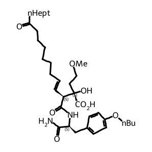 CCCCCCCC(=O)CCCCCCC=C[C@H](C(=O)N[C@@H](Cc1ccc(OCCCC)cc1)C(N)=O)[C@@](O)(CCOC)C(=O)O